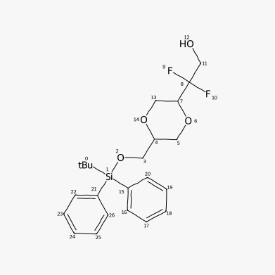 CC(C)(C)[Si](OCC1COC(C(F)(F)CO)CO1)(c1ccccc1)c1ccccc1